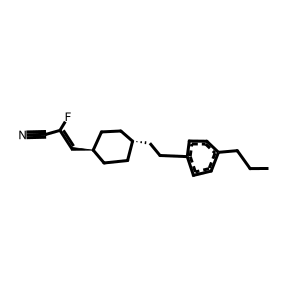 CCCc1ccc(CC[C@H]2CC[C@H](C=C(F)C#N)CC2)cc1